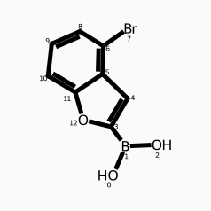 OB(O)c1cc2c(Br)cccc2o1